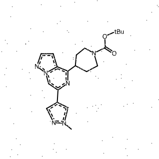 Cn1cc(-c2cn3nccc3c(C3CCN(C(=O)OC(C)(C)C)CC3)n2)cn1